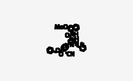 COc1cc(NC(=O)c2cc(N3CCN(C(=O)OCc4ccccc4)[C@@H](CC#N)C3)nc(NCC3CCCCN3C)n2)c2ccccc2c1